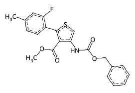 COC(=O)c1c(NC(=O)OCc2ccccc2)csc1-c1ccc(C)cc1F